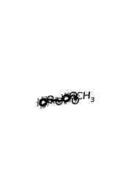 CC(=O)Oc1ccc(OCCOc2ccccc2)cc1